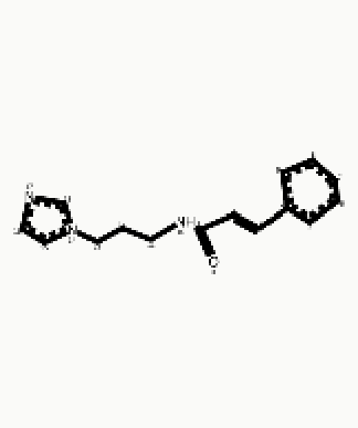 O=C(/C=C/c1ccccc1)NCCCn1ccnc1